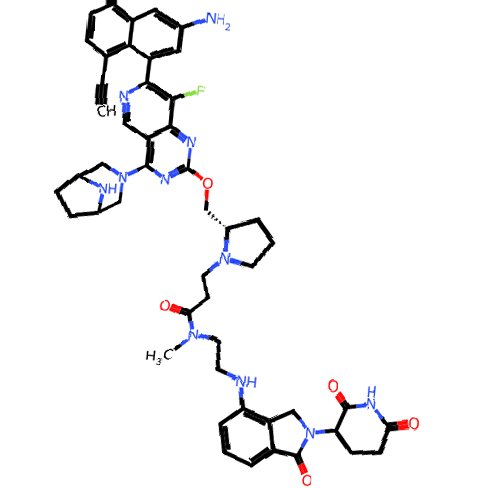 C#Cc1cccc2cc(N)cc(-c3ncc4c(N5CC6CCC(C5)N6)nc(OC[C@@H]5CCCN5CCC(=O)N(C)CCNc5cccc6c5CN(C5CCC(=O)NC5=O)C6=O)nc4c3F)c12